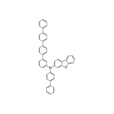 c1ccc(-c2ccc(-c3ccc(-c4cccc(N(c5ccc(-c6ccccc6)cc5)c5ccc6c(c5)oc5ccccc56)c4)cc3)cc2)cc1